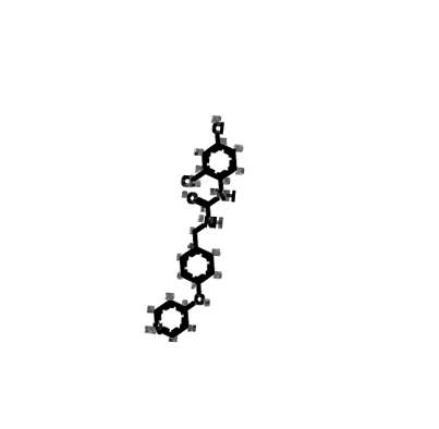 O=C(NCc1ccc(Oc2ccncc2)cc1)Nc1ccc(Cl)cc1Cl